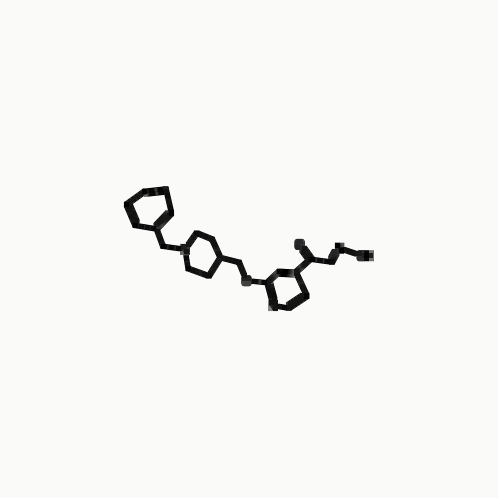 O=C(/C=N/O)c1ccnc(OCC2CCN(Cc3ccccc3)CC2)c1